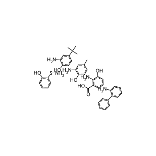 CC(C)(C)c1ccc(O)c(N)c1.Cc1ccc(O)c(N)c1.NSc1ccccc1O.Nc1c(O)cccc1C(=O)O.Nc1ccccc1-c1ccccc1